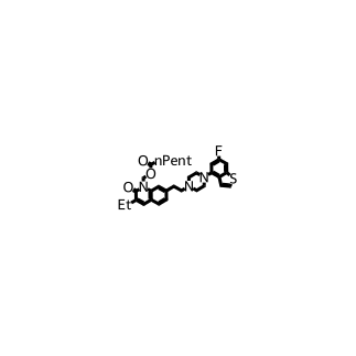 CCCCCC(=O)OCn1c(=O)c(CC)cc2ccc(CCN3CCN(c4cc(F)cc5sccc45)CC3)cc21